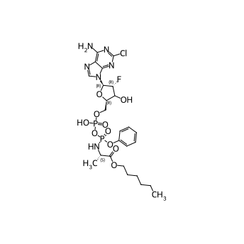 CCCCCCOC(=O)[C@H](C)NP(=O)(Oc1ccccc1)OP(=O)(O)OC[C@H]1O[C@@H](n2cnc3c(N)nc(Cl)nc32)[C@H](F)C1O